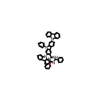 c1ccc(C2=NC(c3ccccc3)NC(c3cc4c5ccc(-n6c7ccccc7c7ccccc76)cc5n(-c5ccccc5)c4cc3-n3c4ccccc4c4ccccc43)=N2)cc1